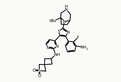 CC(C)(C)C12CCC(CNC1)N2c1nc(-c2cccc(N)c2F)c(-c2ccnc(NC3CC4(C3)CS(=O)(=O)C4)n2)s1